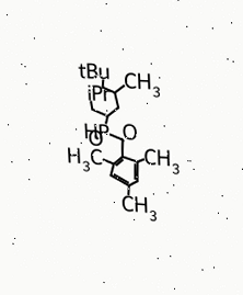 Cc1cc(C)c(C(=O)[PH](=O)C(CC(C)C)CC(C)CC(C)(C)C)c(C)c1